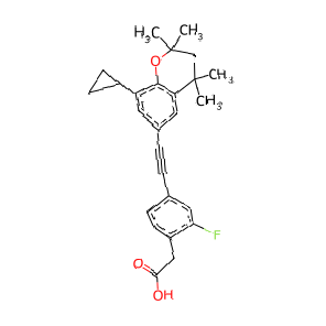 CC1(C)CC(C)(C)c2cc(C#Cc3ccc(CC(=O)O)c(F)c3)cc(C3CC3)c2O1